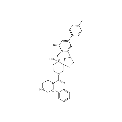 Cc1ccc(-c2cc(=O)n3c(n2)C2CCC4(C2)CN(C(=O)N2CCNC[C@H]2c2ccccc2)CC[C@@]4(O)C3)cc1